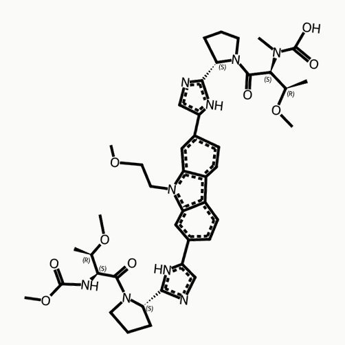 COCCn1c2cc(-c3cnc([C@@H]4CCCN4C(=O)[C@@H](NC(=O)OC)[C@@H](C)OC)[nH]3)ccc2c2ccc(-c3cnc([C@@H]4CCCN4C(=O)[C@H]([C@@H](C)OC)N(C)C(=O)O)[nH]3)cc21